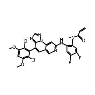 C=CC(=O)Nc1cc(F)c(F)cc1Nc1cc2c(cn1)cc(-c1c(Cl)c(OC)cc(OC)c1Cl)c1ncnn12